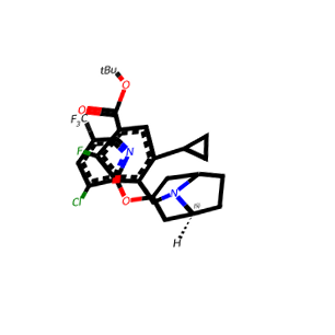 CC(C)(C)OC(=O)c1cc(C2CC2)c(CN2C3CC[C@H]2CC(Oc2ncc(C(F)(F)F)cc2Cl)C3)cc1F